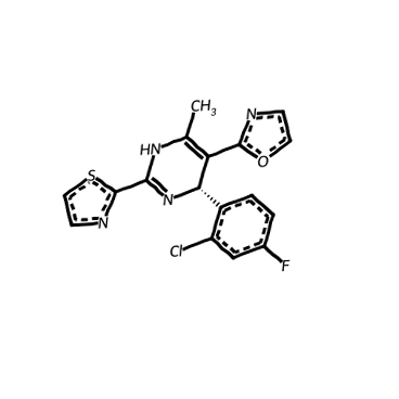 CC1=C(c2ncco2)[C@H](c2ccc(F)cc2Cl)N=C(c2nccs2)N1